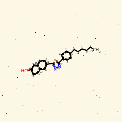 CCCCCCc1ccc(-c2nnc(-c3ccc4cc(O)ccc4c3)s2)cc1